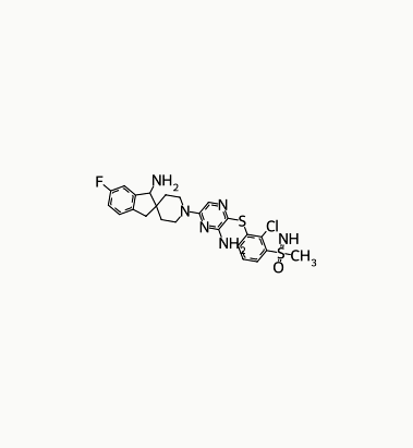 CS(=N)(=O)c1cccc(Sc2ncc(N3CCC4(CC3)Cc3ccc(F)cc3C4N)nc2N)c1Cl